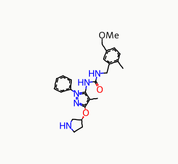 COCc1ccc(C)c(CNC(=O)Nc2c(C)c(O[C@H]3CCNC3)nn2-c2ccccc2)c1